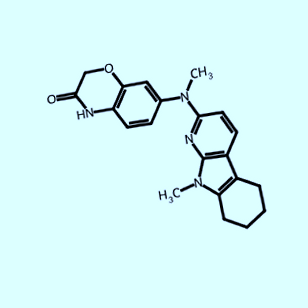 CN(c1ccc2c(c1)OCC(=O)N2)c1ccc2c3c(n(C)c2n1)CCCC3